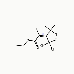 CCOC(=O)/C(C)=C(\C(Cl)(Cl)Cl)C(I)(I)I